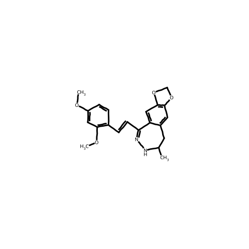 COc1ccc(/C=C/C2=NNC(C)Cc3cc4c(cc32)OCO4)c(OC)c1